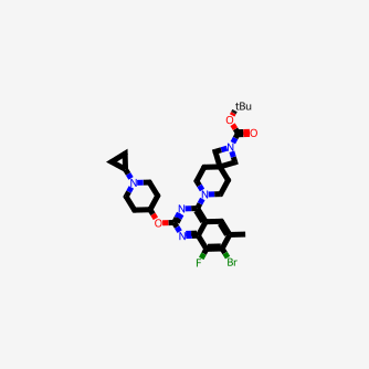 Cc1cc2c(N3CCC4(CC3)CN(C(=O)OC(C)(C)C)C4)nc(OC3CCN(C4CC4)CC3)nc2c(F)c1Br